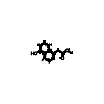 COC(=O)Cc1ccnc2c(O)cccc12